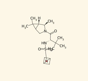 C[C@@H]1[C@@H]2C(CN1C(=O)[C@@H](NS(=O)(=O)N1CC3CC1C3)C(C)(C)C)C2(C)C